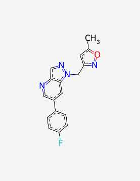 Cc1cc(Cn2ncc3ncc(-c4ccc(F)cc4)cc32)no1